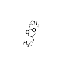 C=CC1OCC(CC)CO1